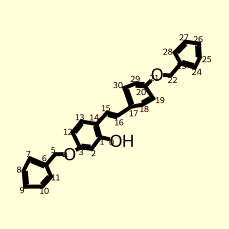 Oc1cc(OCc2ccccc2)ccc1/C=C/c1ccc(OCc2ccccc2)cc1